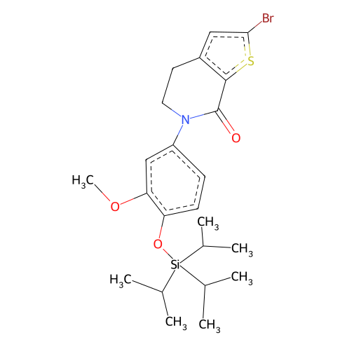 COc1cc(N2CCc3cc(Br)sc3C2=O)ccc1O[Si](C(C)C)(C(C)C)C(C)C